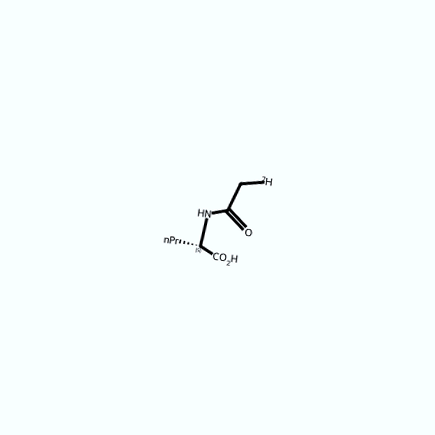 [2H]CC(=O)N[C@@H](CCC)C(=O)O